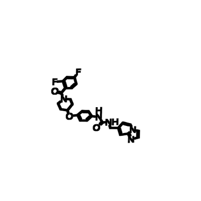 O=C(NCc1ccn2ccnc2c1)Nc1ccc(OC2CCN(C(=O)c3ccc(F)cc3F)CC2)cc1